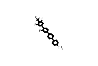 Cc1ccc(-c2ccc(-c3ccc(-c4cc(F)c(C(F)(F)F)c(F)c4)c(F)c3)cc2)cc1